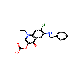 CCn1cc(OC(=O)O)c(=O)c2cc(NCc3ccccc3)c(Cl)cc21